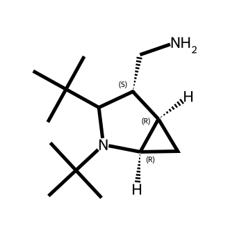 CC(C)(C)C1[C@H](CN)[C@H]2C[C@H]2N1C(C)(C)C